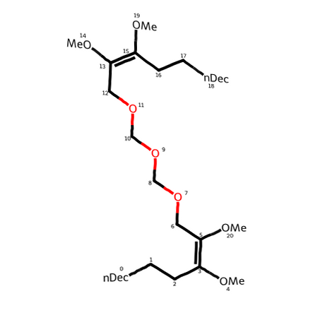 CCCCCCCCCCCCC(OC)=C(COCOCOCC(OC)=C(CCCCCCCCCCCC)OC)OC